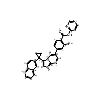 O=C(Nc1ccncn1)c1ccc(-c2cnc3ncc(C4(c5ccc6ncccc6c5)CC4)n3n2)cc1F